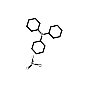 C1CCC(P(C2CCCCC2)C2CCCCC2)CC1.[Cl][Ru]([Cl])[Cl]